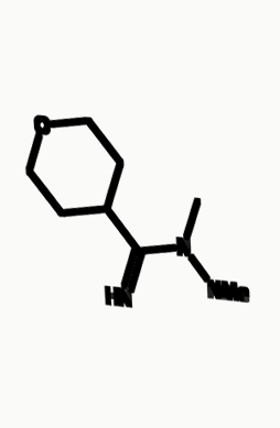 CNN(C)C(=N)C1CCOCC1